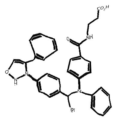 CC(C)C(c1ccc(N2NOC=C2c2ccccc2)cc1)N(c1ccccc1)c1ccc(C(=O)NCCC(=O)O)cc1